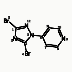 Brc1nc(Br)n(-c2ccncc2)n1